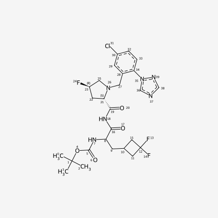 CC(C)(C)OC(=O)NC(CC1CC(F)(F)C1)C(=O)NC(=O)[C@@H]1C[C@@H](F)CN1Cc1cc(Cl)ccc1-n1cncn1